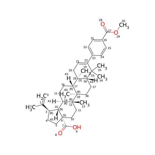 C=C(C)[C@@H]1CC[C@]2(C(=O)O)CC[C@]3(C)[C@H](CC[C@@H]4[C@@]5(C)CC=C(c6ccc(C(=O)OC)cc6)C(C)(C)[C@@H]5CC[C@]43C)[C@@H]12